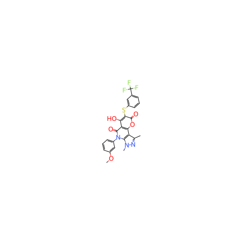 COc1cccc(-n2c(=O)c3c(O)c(Sc4cccc(C(F)(F)F)c4)c(=O)oc3c3c(C)nn(C)c32)c1